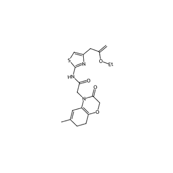 C=C(Cc1csc(NC(=O)CN2C(=O)COC3=C2C=C(C)CC3)n1)OCC